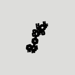 O=C(CN1C(=O)NC2(CCC(F)(F)CC2)C1=O)c1ccc(-c2ncnc3ncccc23)cc1